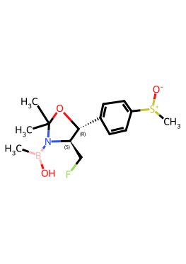 CB(O)N1[C@H](CF)[C@@H](c2ccc([S+](C)[O-])cc2)OC1(C)C